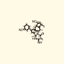 CN1C(=N)N[C@](C)(c2cc(-c3cccc(C#N)c3)cs2)C(c2ccc3c(C#N)nn(C)c3c2)C1=O